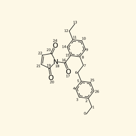 CCc1ccc(CCc2ccc(CC)cc2C(=O)N2C(=O)C=CC2=O)cc1